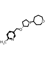 Cc1ccc(CO[C@@H]2CCN(C3CCCOCC3)C2)cn1